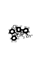 C[Si](c1ccccc1)(c1ccccc1)c1cccc2c1oc1[c]([Zn+])cccc12.[Cl-]